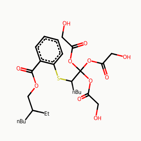 CCCCC(CC)COC(=O)c1ccccc1SC(CCCC)C(OC(=O)CO)(OC(=O)CO)OC(=O)CO